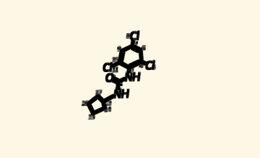 O=C(Nc1c(Cl)cc(Cl)cc1Cl)NC1CCCC1